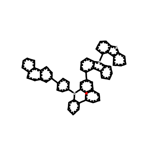 c1ccc(-c2ccccc2N(c2ccc(-c3ccc4c(ccc5ccccc54)c3)cc2)c2cccc(-c3cccc4c3c3ccccc3n4-c3cccc4sc5ccccc5c34)c2)cc1